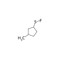 CC1CCC(SF)C1